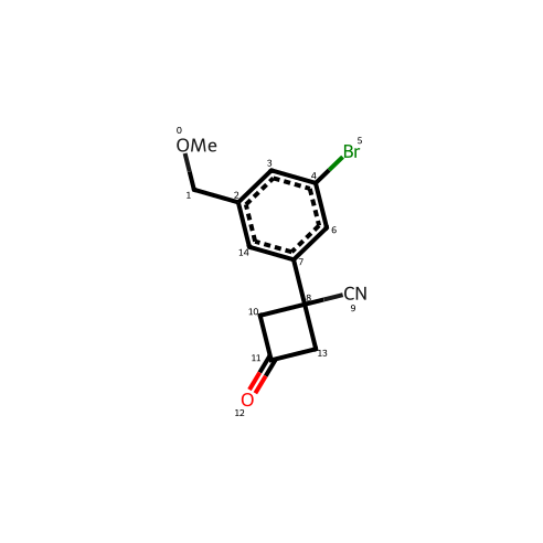 COCc1cc(Br)cc(C2(C#N)CC(=O)C2)c1